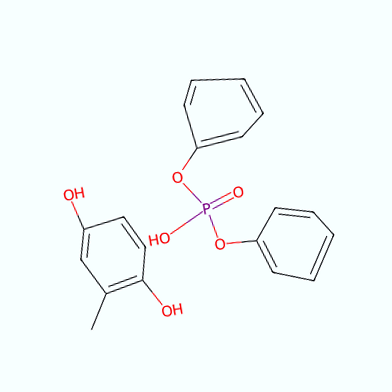 Cc1cc(O)ccc1O.O=P(O)(Oc1ccccc1)Oc1ccccc1